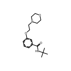 CC(C)(C)NC(=O)c1cccc(OCCN2CCOCC2)c1